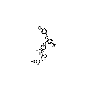 O=C(O)NCC(=O)NCC1(O)CCN(Cc2cc(Br)ccc2OCc2ccc(Cl)cc2)CC1